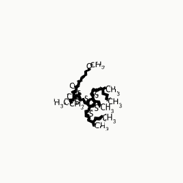 CCCCC(CC)Cc1ccc(-c2c3cc(-c4sc(C(C)(C)C)c5cc(C(=O)CCCCCCCOC)sc45)sc3c(-c3ccc(CC(CC)CCCC)s3)c3cc(C)sc23)s1